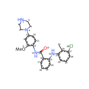 COc1cc(N2CCNCC2)ccc1NC(=O)c1ccccc1Nc1cccc(Cl)c1C